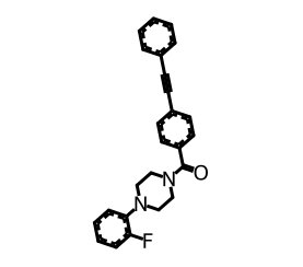 O=C(c1ccc(C#Cc2ccccc2)cc1)N1CCN(c2ccccc2F)CC1